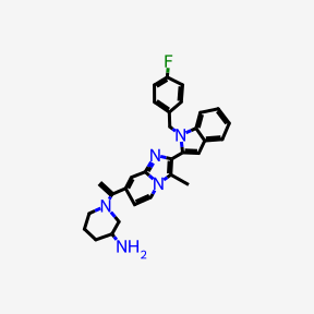 C=C(c1ccn2c(C)c(-c3cc4ccccc4n3Cc3ccc(F)cc3)nc2c1)N1CCCC(N)C1